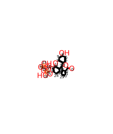 O=C1OC2(c3ccc(O)cc3Oc3cc(OP(=O)(O)OP(=O)(O)O)ccc32)c2ccccc21